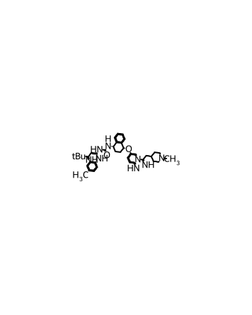 Cc1ccc(N/C(=C\C(=N)C(C)(C)C)NC(=O)N[C@H]2CC[C@@H](Oc3ccc(=N)n(C(=N)CC4CCN(C)CC4)c3)c3ccccc32)cc1